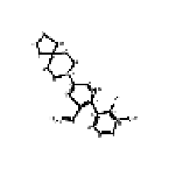 C=Cc1nc(N2CCC3(CCCC3)CC2)cnc1-c1cccc(Cl)c1Cl